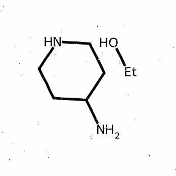 CCO.NC1CCNCC1